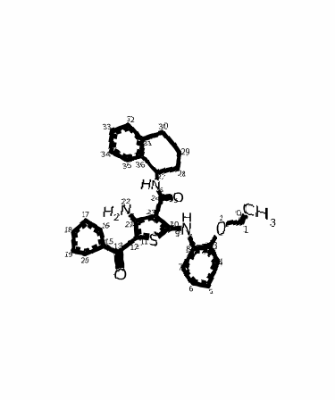 CCOc1ccccc1Nc1sc(C(=O)c2ccccc2)c(N)c1C(=O)NC1CCCc2ccccc21